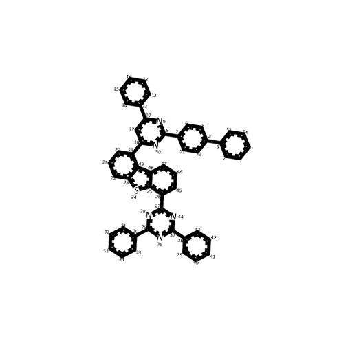 c1ccc(-c2ccc(-c3nc(-c4ccccc4)cc(-c4cccc5sc6c(-c7nc(-c8ccccc8)nc(-c8ccccc8)n7)cccc6c45)n3)cc2)cc1